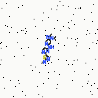 Cc1nc2cnc(Nc3ccnc(-c4cnc(N(C)C)s4)n3)cc2n1C(C)C